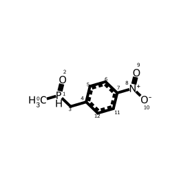 C[PH](=O)Cc1ccc([N+](=O)[O-])cc1